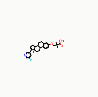 CC(C)(COc1ccc2c(c1)CCC1C2CC[C@]2(C)C(c3cncc(F)c3)=CCC12)C(=O)O